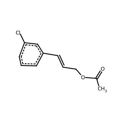 CC(=O)OC/C=C/c1cccc(Cl)c1